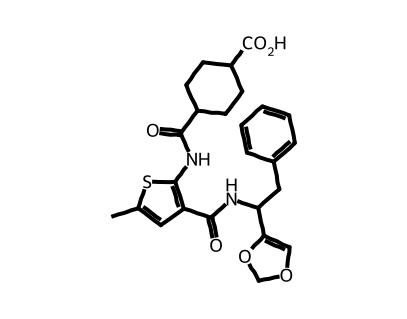 Cc1cc(C(=O)NC(Cc2ccccc2)C2=COCO2)c(NC(=O)C2CCC(C(=O)O)CC2)s1